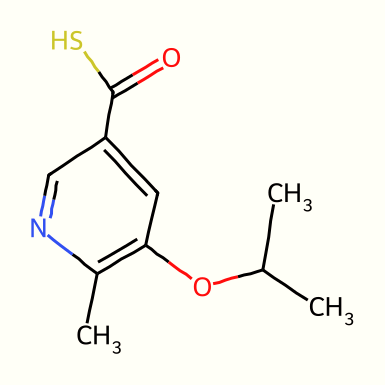 Cc1ncc(C(=O)S)cc1OC(C)C